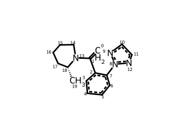 C=C(c1ccccc1-n1nccn1)N1CCCC[C@H]1C